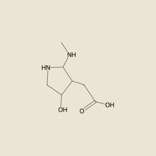 CNC1NCC(O)C1CC(=O)O